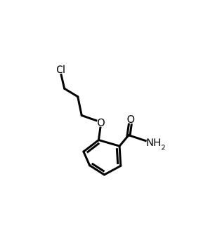 NC(=O)c1ccccc1OCCCCl